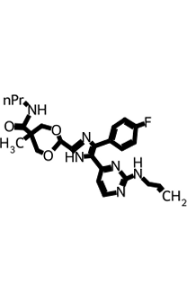 C=CCNc1nccc(-c2[nH]c(C3OCC(C)(C(=O)NCCC)CO3)nc2-c2ccc(F)cc2)n1